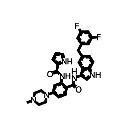 CN1CCN(c2ccc(C(=O)Nc3c[nH]c4ccc(Cc5cc(F)cc(F)c5)cc34)c(NC(=O)c3ccc[nH]3)c2)CC1